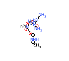 CCCN(CC(=O)N(CCC)CC(=O)N(CC(N)=O)C/C(N)=C/NCCCN)C(=O)CCCOc1cccc(-c2nc3ccc(C)cc3[nH]2)c1